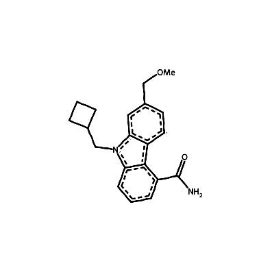 COCc1c[c]c2c3c(C(N)=O)cccc3n(CC3CCC3)c2c1